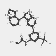 C=CC(=O)Nc1cc(-c2cnc3[nH]cc(-c4ccnc5[nH]ccc45)c3c2)cc(C(F)(F)F)c1